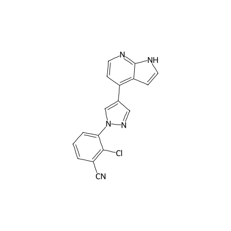 N#Cc1cccc(-n2cc(-c3ccnc4[nH]ccc34)cn2)c1Cl